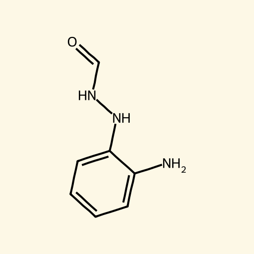 Nc1ccccc1NNC=O